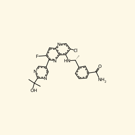 C[C@@H](Nc1c(Cl)cnc2cc(F)c(-c3cnc(C(C)(C)O)nc3)nc12)c1cccc(C(N)=O)c1